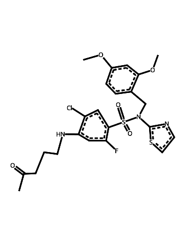 COc1ccc(CN(c2nccs2)S(=O)(=O)c2cc(Cl)c(NCCCC(C)=O)cc2F)c(OC)c1